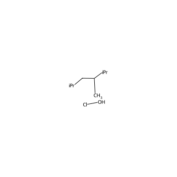 CC(C)CC(C)C(C)C.OCl